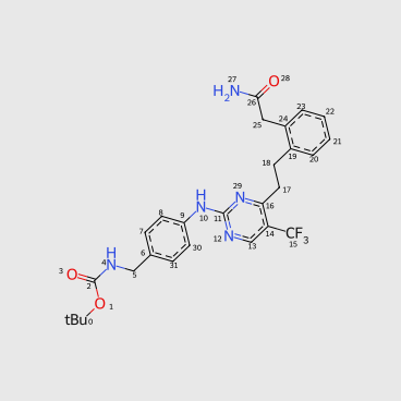 CC(C)(C)OC(=O)NCc1ccc(Nc2ncc(C(F)(F)F)c(CCc3ccccc3CC(N)=O)n2)cc1